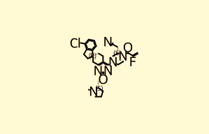 C=C(F)C(=O)N1CCN(c2nc(OC[C@@H]3CCCN3C)nc3c2CC[C@@]2(CCc4c(Cl)cccc42)C3)C[C@@H]1CC#N